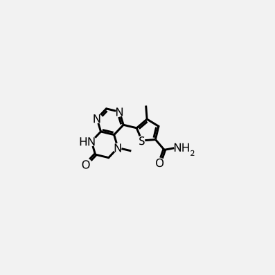 Cc1cc(C(N)=O)sc1-c1ncnc2c1N(C)CC(=O)N2